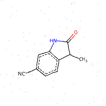 CC1C(=O)Nc2cc(C#N)ccc21